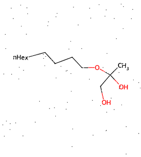 CCCCCCCCCCOC(C)(O)CO